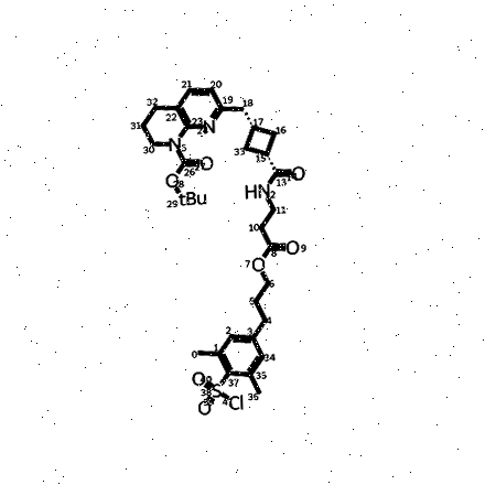 Cc1cc(CCCOC(=O)CCNC(=O)[C@H]2C[C@@H](Cc3ccc4c(n3)N(C(=O)OC(C)(C)C)CCC4)C2)cc(C)c1S(=O)(=O)Cl